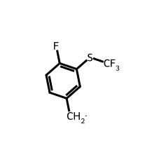 [CH2]c1ccc(F)c(SC(F)(F)F)c1